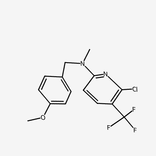 COc1ccc(CN(C)c2ccc(C(F)(F)F)c(Cl)n2)cc1